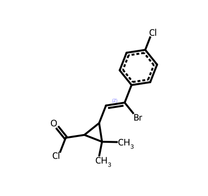 CC1(C)C(/C=C(\Br)c2ccc(Cl)cc2)C1C(=O)Cl